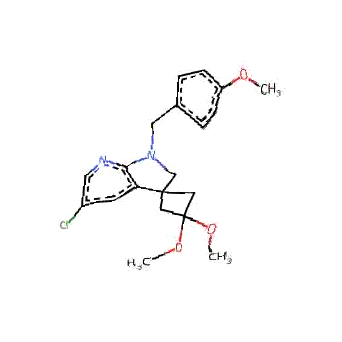 COc1ccc(CN2CC3(CC(OC)(OC)C3)c3cc(Cl)cnc32)cc1